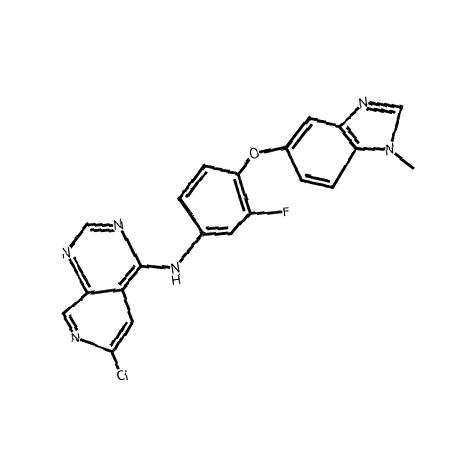 Cn1cnc2cc(Oc3ccc(Nc4ncnc5cnc(Cl)cc45)cc3F)ccc21